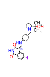 CC(C)(O)C1CCCN1Cc1ccc(N/C=C2\C(=O)NC(=O)c3ccc(I)cc32)cc1